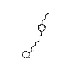 C=CCCc1ccc(CCCCCCOC2CCCCO2)cc1